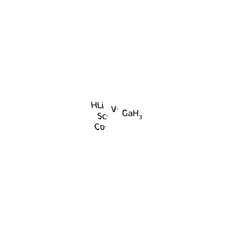 [Co].[GaH3].[LiH].[Sc].[V]